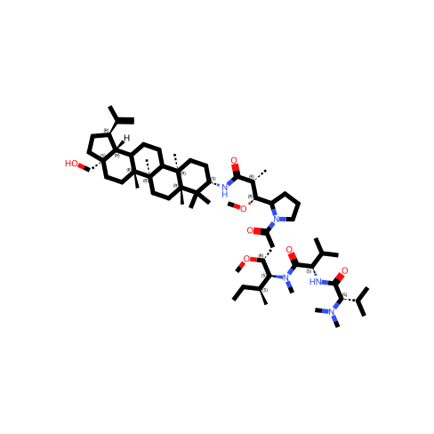 C=C(C)[C@@H]1CC[C@]2(CO)CC[C@]3(C)C(CCC4[C@@]5(C)CC[C@H](NC(=O)[C@H](C)[C@@H](OC)C6CCCN6C(=O)C[C@@H](OC)[C@H]([C@@H](C)CC)N(C)C(=O)[C@@H](NC(=O)[C@H](C(C)C)N(C)C)C(C)C)C(C)(C)[C@]5(C)CC[C@]43C)[C@@H]12